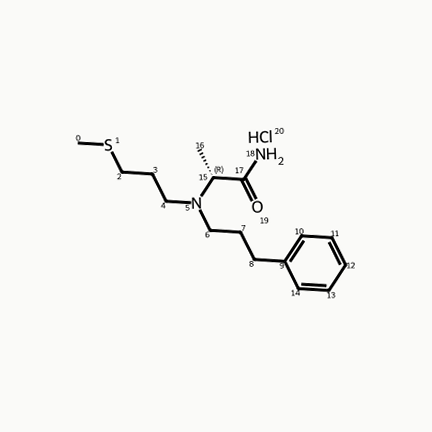 CSCCCN(CCCc1ccccc1)[C@H](C)C(N)=O.Cl